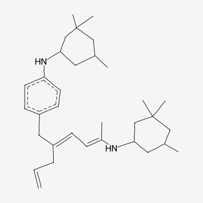 C=CC/C(=C\C=C(/C)NC1CC(C)CC(C)(C)C1)Cc1ccc(NC2CC(C)CC(C)(C)C2)cc1